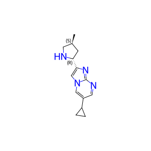 C[C@@H]1CN[C@@H](c2cn3cc(C4CC4)cnc3n2)C1